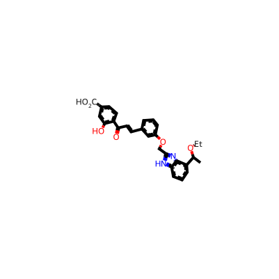 CCOC(C)c1cccc2[nH]c(COc3cccc(C=CC(=O)c4ccc(C(=O)O)cc4O)c3)nc12